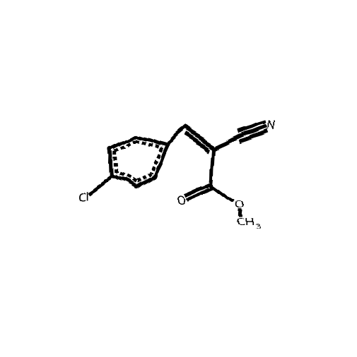 COC(=O)C(C#N)=Cc1ccc(Cl)cc1